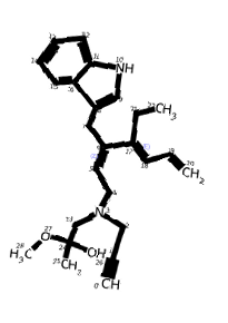 C#CCN(C/C=C(Cc1c[nH]c2ccccc12)\C(=C\C=C)CC)CC(C)(O)OC